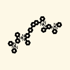 c1ccc(-c2nc(-n3c4ccccc4c4cc(-n5c6ccccc6n6c7ccccc7nc56)ccc43)nc3cc(-c4ccc(-c5ccc6ccc(-c7nc(-n8c9ccccc9c9cc(-n%10c%11ccccc%11n%11c%12ccccc%12nc%10%11)ccc98)nc8ccccc78)cc6c5)cc4)ccc23)cc1